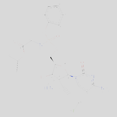 CC(C)OC(=O)[C@H](C)NP(=O)(OC[C@H]1O[C@@H](n2ccc(N)nc2=O)[C@@](N)(C#CCF)C1O)Oc1ccccc1